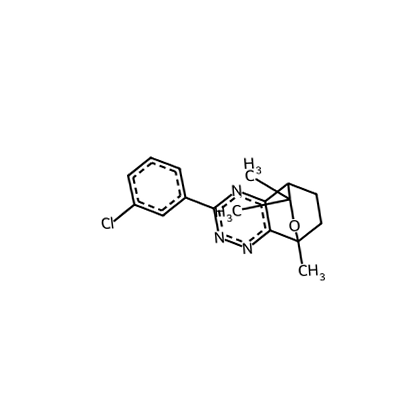 CC12CCC(c3nc(-c4cccc(Cl)c4)nnc31)C(C)(C)O2